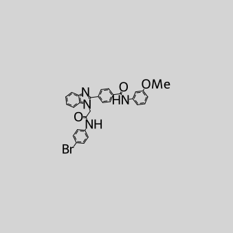 COc1cccc(NC(=O)c2ccc(-c3nc4ccccc4n3CC(=O)Nc3ccc(Br)cc3)cc2)c1